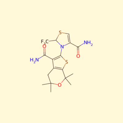 CC1(C)Cc2c(sc(N3C(C(N)=O)=CSC3C(F)(F)F)c2C(N)=O)C(C)(C)O1